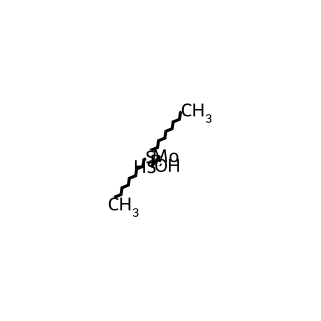 CCCCCCCCCCS(CCCCCCCCCC)=[P](O)(S)[Mo]